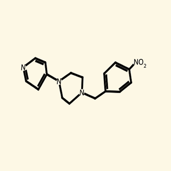 O=[N+]([O-])c1ccc(CN2CCN(c3ccncc3)CC2)cc1